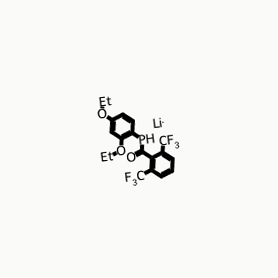 CCOc1ccc(PC(=O)c2c(C(F)(F)F)cccc2C(F)(F)F)c(OCC)c1.[Li]